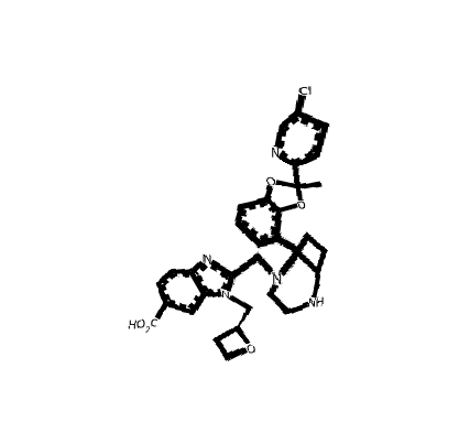 CC1(c2ccc(Cl)cn2)Oc2cccc(C34CCC3NCCN4Cc3nc4ccc(C(=O)O)cc4n3C[C@@H]3CCO3)c2O1